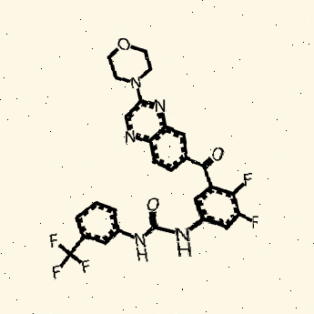 O=C(Nc1cccc(C(F)(F)F)c1)Nc1cc(F)c(F)c(C(=O)c2ccc3ncc(N4CCOCC4)nc3c2)c1